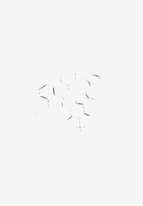 Cc1c(-c2ncco2)sc2c1c(=O)n(C(C)(C)C(=O)O)c(=O)n2C[C@H](OC1CCOCC1)c1ccccc1CC#N